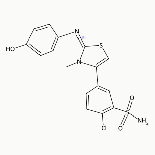 Cn1c(-c2ccc(Cl)c(S(N)(=O)=O)c2)cs/c1=N/c1ccc(O)cc1